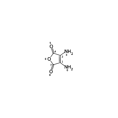 NC1=C(N)C(=O)OC1=O